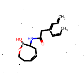 C=C/C=C(\C=C/C)CC(=O)NC1C/C=C\CCOB1O